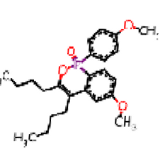 CCCCC1=C(CCCC)c2cc(OC)ccc2P(=O)(c2ccc(OC)cc2)O1